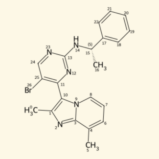 Cc1nc2c(C)cccn2c1-c1nc(N[C@@H](C)c2ccccc2)ncc1Br